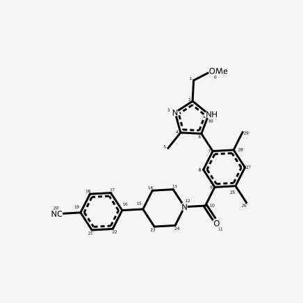 COCc1nc(C)c(-c2cc(C(=O)N3CCC(c4ccc(C#N)cc4)CC3)c(C)cc2C)[nH]1